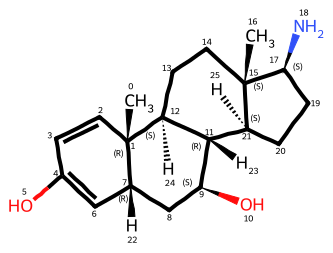 C[C@]12C=CC(O)=C[C@H]1C[C@H](O)[C@@H]1[C@@H]2CC[C@]2(C)[C@@H](N)CC[C@@H]12